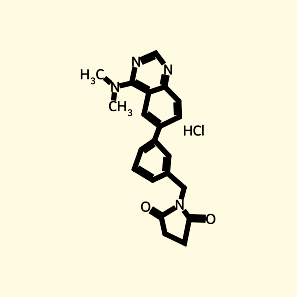 CN(C)c1ncnc2ccc(-c3cccc(CN4C(=O)CCC4=O)c3)cc12.Cl